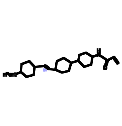 C=CC(=O)NC1CCC(C2CCC(/C=C/C3CCC(CCCCC)CC3)CC2)CC1